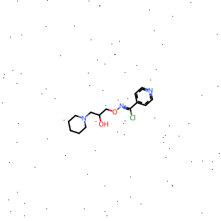 OC(CON=C(Cl)c1ccncc1)CN1CCCCC1